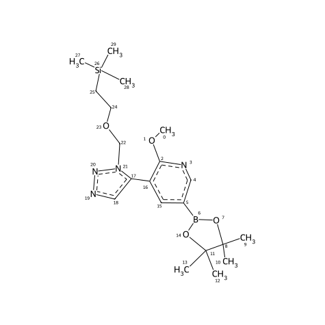 COc1ncc(B2OC(C)(C)C(C)(C)O2)cc1-c1cnnn1COCC[Si](C)(C)C